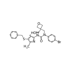 Cc1nc(NC(=O)N(CC2(CO)COC2)c2ccc(Br)cc2)sc1SCc1ccccc1